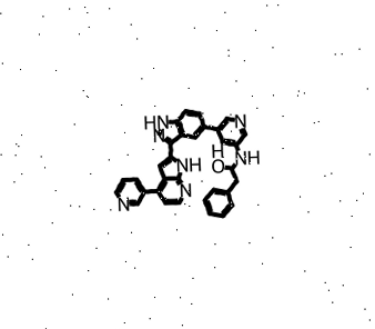 OC(Cc1ccccc1)Nc1cncc(-c2ccc3[nH]nc(-c4cc5c(-c6cccnc6)ccnc5[nH]4)c3c2)c1